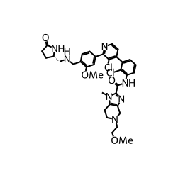 COCCN1CCc2c(nc(C(=O)Nc3cccc(-c4ccnc(-c5ccc(CNC[C@@H]6CCC(=O)N6)c(OC)c5)c4Cl)c3Cl)n2C)C1